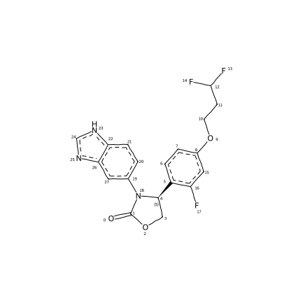 O=C1OC[C@H](c2ccc(OCCC(F)F)cc2F)N1c1ccc2[nH]cnc2c1